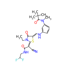 CCn1c(=C(C#N)C(=O)NCC(F)F)sc(=CNc2cccc(N(C)C(=O)C(C)(C)C)c2)c1=O